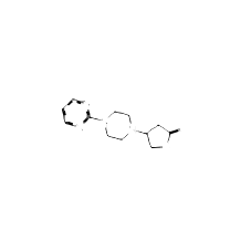 O=C1CC(N2CCN(c3ncccn3)CC2)CO1